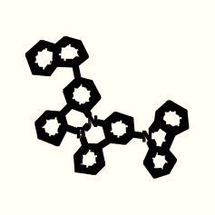 c1ccc2c(c1)B1c3ccccc3-c3cc(-n4c5ccccc5c5ccccc54)ccc3N1c1ccc(-c3cccc4ccccc34)cc1-2